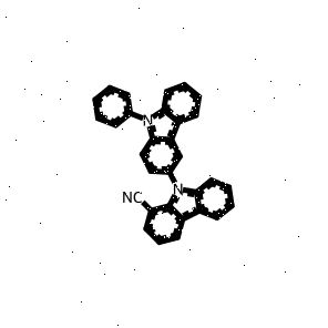 N#Cc1cccc2c3ccccc3n(-c3ccc4c(c3)c3ccccc3n4-c3ccccc3)c12